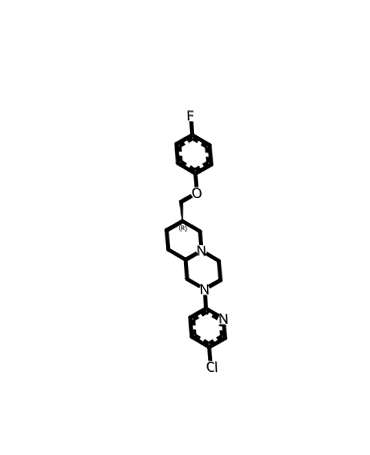 Fc1ccc(OC[C@@H]2CCC3CN(c4ccc(Cl)cn4)CCN3C2)cc1